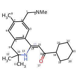 CNCc1cc2c(cc1C)CC(C)(C)N/C2=C\C(=O)C1CCCCC1